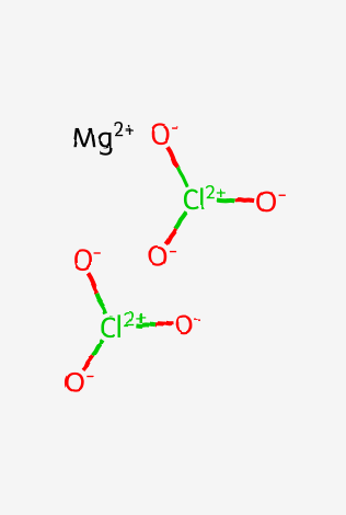 [Mg+2].[O-][Cl+2]([O-])[O-].[O-][Cl+2]([O-])[O-]